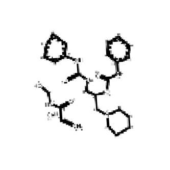 C=CC(=O)NCO.O=C(Nc1ccccc1)OCC(CN1CCCCC1)OC(=O)Nc1ccccc1.[CaH2]